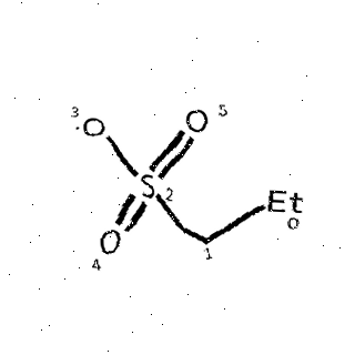 CCCS([O])(=O)=O